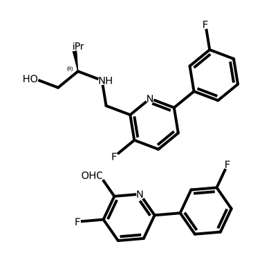 CC(C)[C@H](CO)NCc1nc(-c2cccc(F)c2)ccc1F.O=Cc1nc(-c2cccc(F)c2)ccc1F